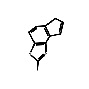 Cc1nc2c3c(ccc2[nH]1)CC=C3